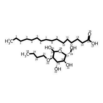 CCCCCCCCCCCCCCCC(=O)O.CCCCO[C@H]1C(O)O[C@H](CO)[C@@H](O)[C@@H]1O